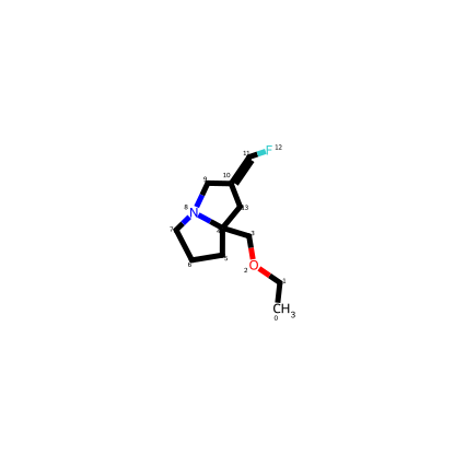 CCOCC12CCCN1C/C(=C/F)C2